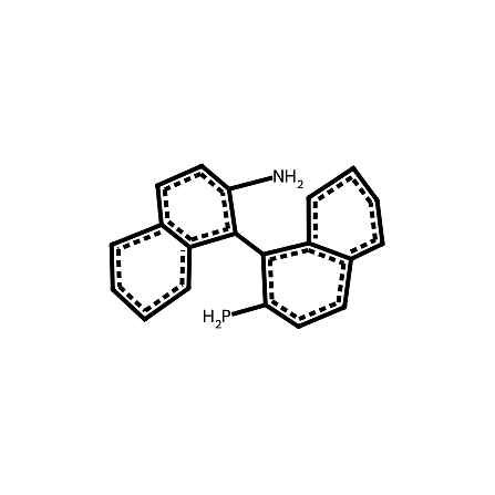 Nc1ccc2ccccc2c1-c1c(P)ccc2ccccc12